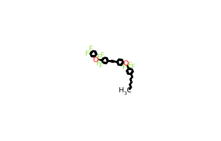 CCCCCCc1ccc(C(F)(F)Oc2ccc(C#Cc3cc(F)c(C(F)(F)Oc4ccc(F)c(F)c4)c(F)c3)cc2)c(F)c1